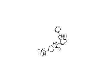 CC(N)C1CCC(C(=O)Nc2ccnc3[nH]c(-c4ccccc4)cc23)CC1